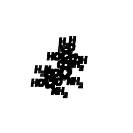 NCC1O[C@H](O[C@@H]2C(N)C[C@@H](N)C(O[C@@H]3OC(CO)[C@@H](O)C(N)C3O)[C@H]2O)C(N)C[C@@H]1O